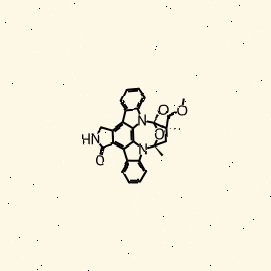 COC(=O)[C@@]1(C)C[C@@]2(C)O[C@]1(C)n1c3ccccc3c3c4c(c5c6ccccc6n2c5c31)C(=O)NC4